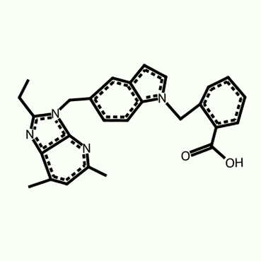 CCc1nc2c(C)cc(C)nc2n1Cc1ccc2c(ccn2Cc2ccccc2C(=O)O)c1